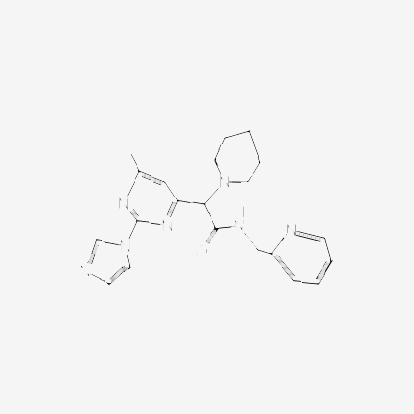 Cc1cc(C(C(=O)NCc2ccccn2)N2CCCCC2)nc(-n2ccnc2)n1